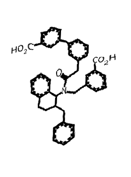 O=C(O)c1cccc(CN(C(=O)Cc2cccc(-c3cccc(C(=O)O)c3)c2)C2c3ccccc3CCC2Cc2ccccc2)c1